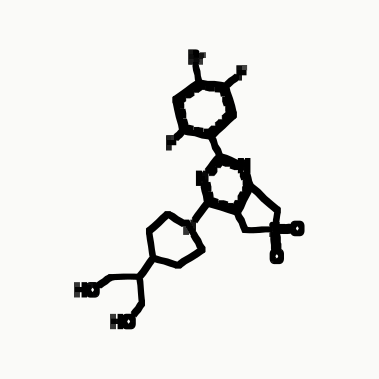 O=S1(=O)Cc2nc(-c3cc(F)c(Br)cc3F)nc(N3CCC(C(CO)CO)CC3)c2C1